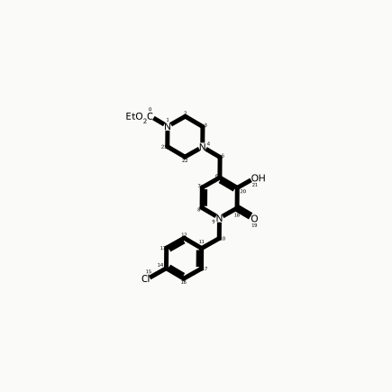 CCOC(=O)N1CCN(Cc2ccn(Cc3ccc(Cl)cc3)c(=O)c2O)CC1